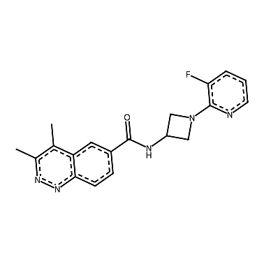 Cc1nnc2ccc(C(=O)NC3CN(c4ncccc4F)C3)cc2c1C